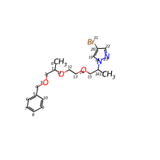 CC(COCc1ccccc1)OCCOCC(C)n1cc(Br)cn1